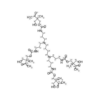 CC(=O)C(C)(CO)COC(=O)NCCCN(CCCCN(CCCNC(=O)OCC(C)(CO)C(C)=O)CCCNC(=O)OCC(C)(CO)C(C)=O)CCCNC(=O)OCC(C)(CO)C(C)=O